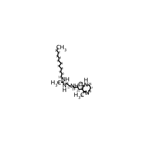 CCCCCCCCCCCCNC(C)NCCNCCCC1C(=O)NCCCN=C1C